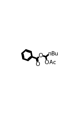 CCCCC(OC(C)=O)OC(=O)c1ccccc1